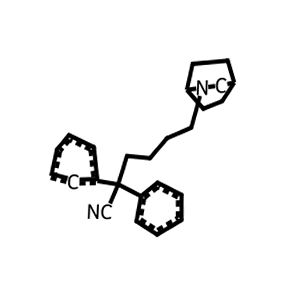 N#CC(CCCCN1CC2CCC1CC2)(c1ccccc1)c1ccccc1